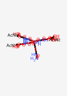 CC(=O)NC(C)[C@@H](OO)OCCCCC(=O)NCCCNC(=O)CCOCC(COCCC(=O)NCCCNC(=O)CCCCO[C@H](OO)C(C)NC(C)=O)(COCCC(=O)NCCCNC(=O)CCCCO[C@@H]1OC2C3C(CO)[C@H](O)C(O)C3C21NC(C)=O)NC(=O)CCCCCCCCCCCNC(=O)CON